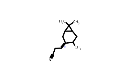 CC1CC2C(C/C1=C\CC#N)C2(C)C